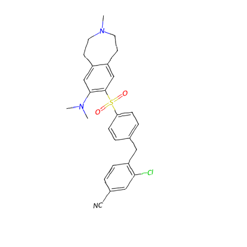 CN1CCc2cc(N(C)C)c(S(=O)(=O)c3ccc(Cc4ccc(C#N)cc4Cl)cc3)cc2CC1